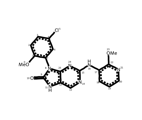 COc1ccc(Cl)cc1-n1c(=O)[nH]c2cnc(Nc3cccnc3OC)nc21